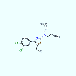 COCCN(CCC(=O)O)c1nc(-c2ccc(Cl)c(Cl)c2)c(CC(C)C)s1